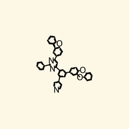 c1ccc(-c2nc(-c3cc(-c4ccncc4)cc(-c4ccc5c(c4)Oc4ccccc4O5)c3)cc(-c3ccc4oc5ccccc5c4c3)n2)cc1